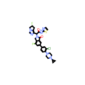 O=C(Nc1nccs1)C(c1ncn2c1C[C@@H](F)C2)N1Cc2c(F)cc(-c3ccc(N4CCN(C5CC5)CC4)c(Cl)c3)cc2C1=O